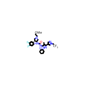 COCCN1C[C@@H](NC(=O)Nc2c(C)c(-c3cnn(CC(F)(F)F)c3)nn2C2=CCCC=C2)[C@H](c2ccc(F)c(F)c2)C1